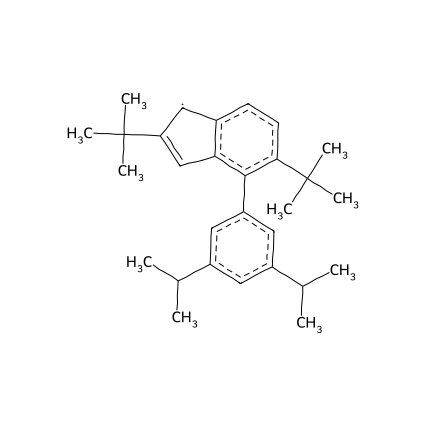 CC(C)c1cc(-c2c(C(C)(C)C)ccc3c2C=C(C(C)(C)C)[CH]3)cc(C(C)C)c1